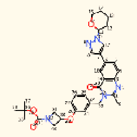 Cc1nc2ccc(-c3cnn(C4CCCCO4)c3)cc2c(=O)n1Cc1cccc(OC2CN(C(=O)OC(C)(C)C)C2)c1